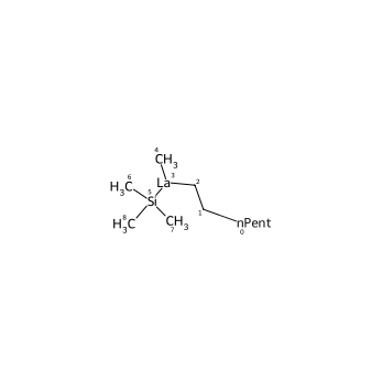 CCCCCC[CH2][La]([CH3])[Si](C)(C)C